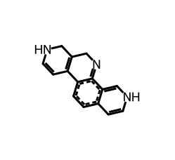 C1=Cc2ccc3c(c2=CN1)=NCC1=C3C=CNC1